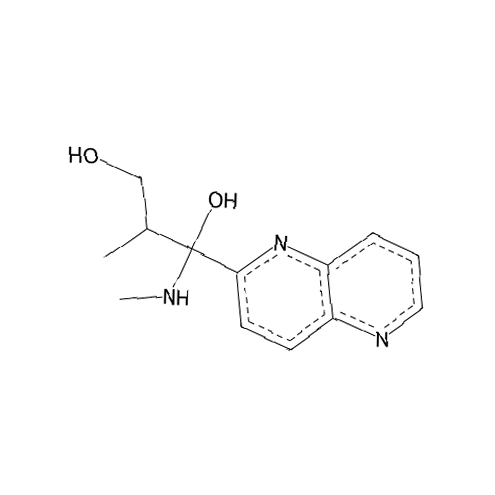 CNC(O)(c1ccc2ncccc2n1)C(C)CO